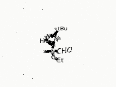 CCOS(C)(C=O)c1nc(C(C)(C)C)n[nH]1